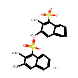 CCCCCCCCc1cc2ccccc2c(S(=O)(=O)[O-])c1CCCCCCCC.CCCCCCCCc1cc2ccccc2c(S(=O)(=O)[O-])c1CCCCCCCC.[Ca+2]